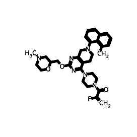 C=C(F)C(=O)N1CCN(c2nc(OCC3CN(C)CCO3)nc3c2CCN(c2cccc4cccc(C)c24)C3)CC1